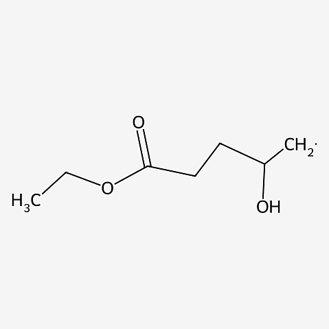 [CH2]C(O)CCC(=O)OCC